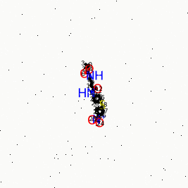 CC(C)(C)OC(=O)NCCCC(=O)Nc1ccc(Sc2ccc([N+](=O)[O-])cc2)cc1